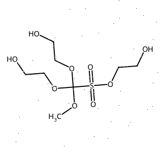 COC(OCCO)(OCCO)S(=O)(=O)OCCO